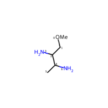 COCC(N)C(C)N